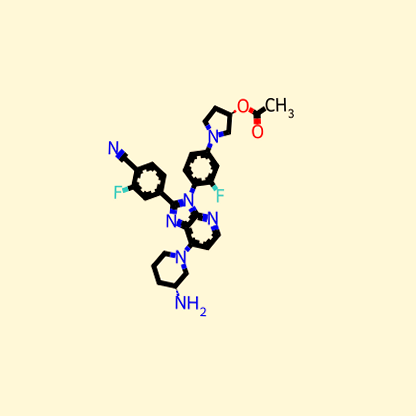 CC(=O)O[C@H]1CCN(c2ccc(-n3c(-c4ccc(C#N)c(F)c4)nc4c(N5CCC[C@@H](N)C5)ccnc43)c(F)c2)C1